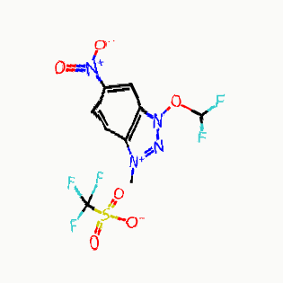 C[n+]1nn(OC(F)F)c2cc([N+](=O)[O-])ccc21.O=S(=O)([O-])C(F)(F)F